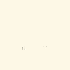 Ic1ccc2oc(CN3CCCC3)cc2c1